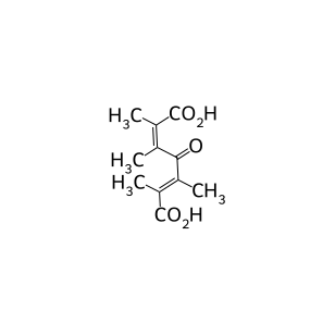 CC(C(=O)O)=C(C)C(=O)C(C)=C(C)C(=O)O